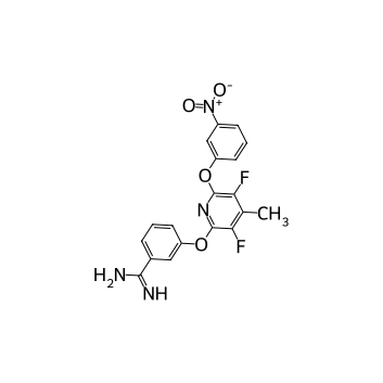 Cc1c(F)c(Oc2cccc(C(=N)N)c2)nc(Oc2cccc([N+](=O)[O-])c2)c1F